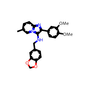 COc1ccc(-c2nc3ccc(C)cn3c2NCc2ccc3c(c2)OCO3)cc1OC